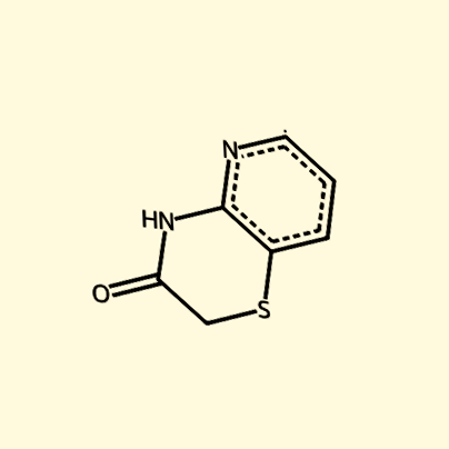 O=C1CSc2cc[c]nc2N1